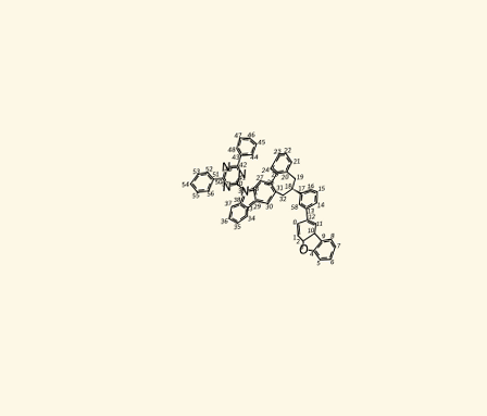 C1=CC2Oc3ccccc3C2C=C1c1cccc([C@@H]2Cc3ccccc3-c3cc4c(cc3C2)c2ccccc2n4-c2nc(-c3ccccc3)nc(-c3ccccc3)n2)c1